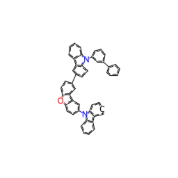 c1ccc(-c2cccc(-n3c4ccccc4c4cc(-c5ccc6oc7ccc(-n8c9ccccc9c9ccccc98)cc7c6c5)ccc43)c2)cc1